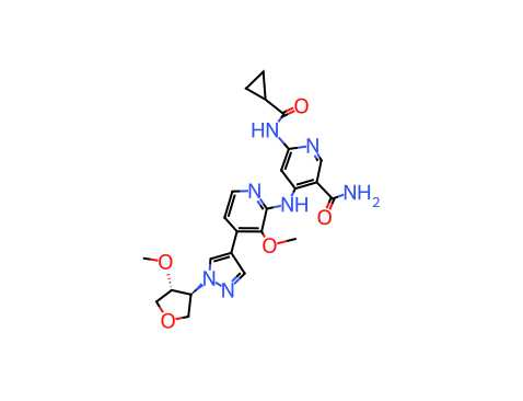 COc1c(-c2cnn([C@H]3COC[C@@H]3OC)c2)ccnc1Nc1cc(NC(=O)C2CC2)ncc1C(N)=O